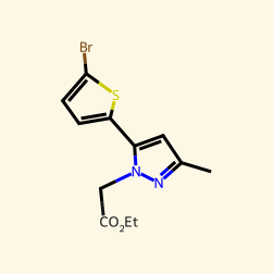 CCOC(=O)Cn1nc(C)cc1-c1ccc(Br)s1